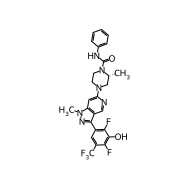 C[C@@H]1CN(c2cc3c(cn2)c(-c2cc(C(F)(F)F)c(F)c(O)c2F)nn3C)CCN1C(=O)Nc1ccccc1